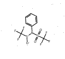 O=S(=O)(N(c1ccccc1)[S+]([O-])C(F)(F)F)C(F)(F)F